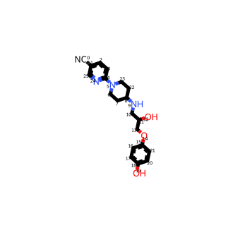 N#Cc1ccc(N2CCC(NCC(O)COc3ccc(O)cc3)CC2)nc1